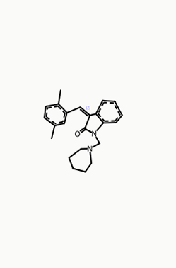 Cc1ccc(C)c(/C=C2\C(=O)N(CN3CCCCC3)c3ccccc32)c1